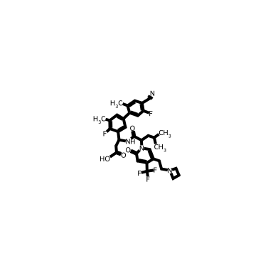 Cc1cc(C#N)c(F)cc1-c1cc(C)c(F)c(C(CC(=O)O)NC(=O)C(CC(C)C)n2cc(CCN3CCC3)c(C(F)(F)F)cc2=O)c1